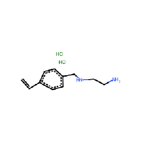 C=Cc1ccc(CNCCN)cc1.Cl.Cl